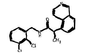 CC(C(=O)NCc1cccc(Cl)c1Cl)c1cccc2cnccc12